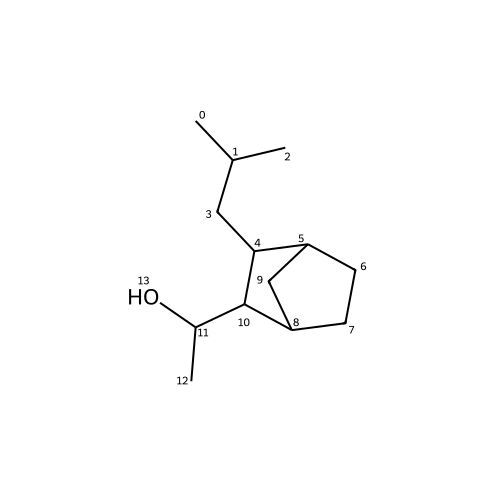 CC(C)CC1C2CCC(C2)C1C(C)O